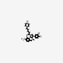 CN(Cc1ccc(C(F)(F)F)c(F)c1)[C@@H]1CN(C(=O)CCCCN2CCNCC2)C[C@@H]1c1ccc(Cl)c(Cl)c1